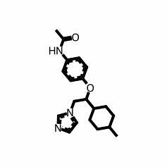 CC(=O)Nc1ccc(OC(Cn2ccnc2)C2CCC(C)CC2)cc1